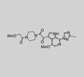 COCC(=O)N1CCN(C(=O)C(=O)c2c[nH]c3c(-n4cnc(C)n4)ncc(OC)c23)CC1